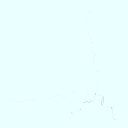 CCCCCCCCCCOCC(/C=C/C(=O)N(C)C)(/C=C/C(=O)N(C)C)CCCCCCOCCCCC